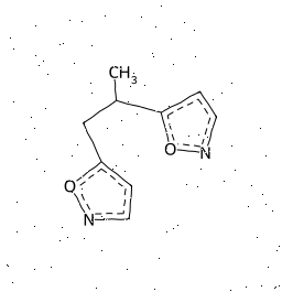 CC(Cc1ccno1)c1ccno1